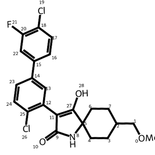 COCC1CCC2(CC1)NC(=O)C(c1cc(-c3ccc(Cl)c(F)c3)ccc1Cl)=C2O